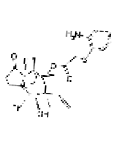 C=C[C@]1(C)C[C@@H](OC(=O)CSc2ccccc2N)[C@]2(C)[C@H](C)CC[C@]3(CCC(=O)[C@H]32)[C@@H](CC)[C@@H]1O